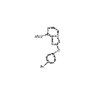 CSc1cccc2sc(Oc3ccc(C(C)=O)cc3)nc12